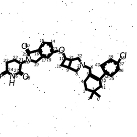 CC1(C)CCC(CN2CC3CC(Oc4ccc5c(c4)CN(C4CCC(=O)NC4=O)C5=O)C3C2)=C(c2ccc(Cl)cc2)C1